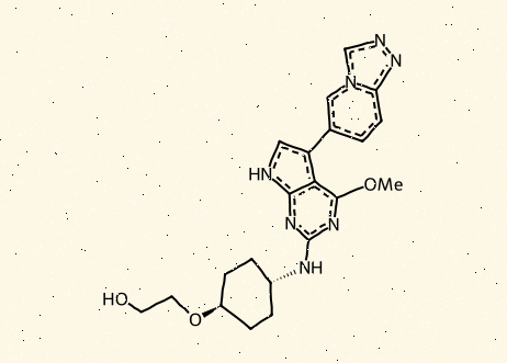 COc1nc(N[C@H]2CC[C@H](OCCO)CC2)nc2[nH]cc(-c3ccc4nncn4c3)c12